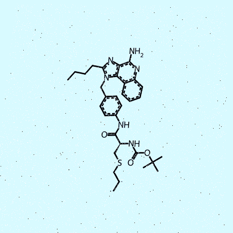 [CH2][CH]CSC[C@H](NC(=O)OC(C)(C)C)C(=O)Nc1ccc(Cn2c(CCCC)nc3c(N)nc4ccccc4c32)cc1